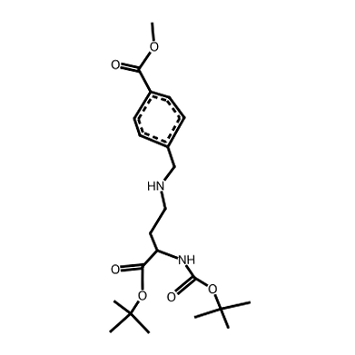 COC(=O)c1ccc(CNCCC(NC(=O)OC(C)(C)C)C(=O)OC(C)(C)C)cc1